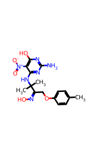 Cc1ccc(OCC(=NO)C(C)(C)Nc2nc(N)nc(O)c2[N+](=O)[O-])cc1